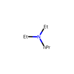 [CH2]CN(C[CH2])CCC